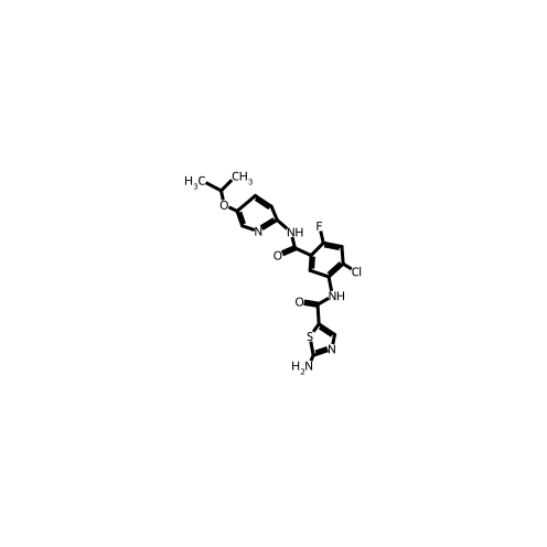 CC(C)Oc1ccc(NC(=O)c2cc(NC(=O)c3cnc(N)s3)c(Cl)cc2F)nc1